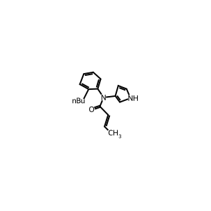 CC=CC(=O)N(c1cc[nH]c1)c1ccccc1CCCC